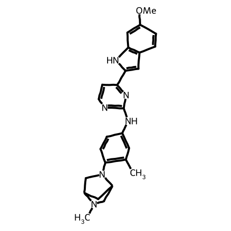 COc1ccc2cc(-c3ccnc(Nc4ccc(N5CC6CC5CN6C)c(C)c4)n3)[nH]c2c1